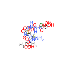 CC(C)(O/N=C(\C(=O)N[C@@H]1C(=O)N2C[C@@](C(=O)O)(N3CCN(NC(=O)C(=O)NCCN(O)C(=O)c4ccc(O)c(O)c4Cl)C3=O)S[C@H]12)c1csc(N)n1)C(=O)O